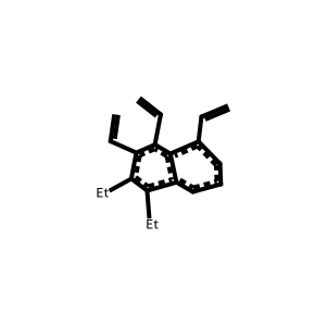 C=Cc1c(CC)c(CC)c2cccc(C=C)c2c1C=C